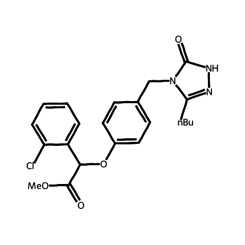 CCCCc1n[nH]c(=O)n1Cc1ccc(OC(C(=O)OC)c2ccccc2Cl)cc1